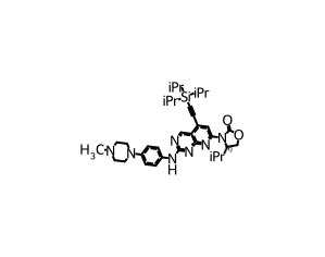 CC(C)[C@@H]1COC(=O)N1c1cc(C#C[Si](C(C)C)(C(C)C)C(C)C)c2cnc(Nc3ccc(N4CCN(C)CC4)cc3)nc2n1